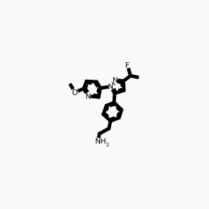 COc1ccc(-n2nc(C(C)F)cc2-c2ccc(CCN)cc2)cn1